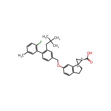 Cc1ccc(F)c(-c2ccc(COc3ccc4c(c3)[C@]3(CC4)C[C@H]3C(=O)O)cc2CC(C)(C)C)c1